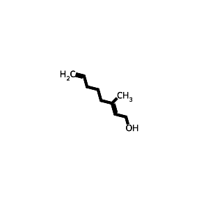 C=CCCC/C(C)=C/CO